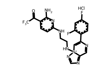 Cl.Nc1nc(NCCN[N+]23C=C(c4ccc(F)cc4F)N=CC2=NC=N3)ccc1C(=O)C(F)(F)F